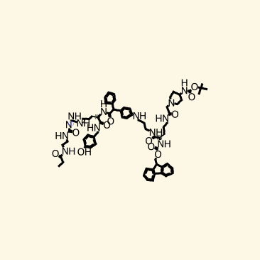 CCC(=O)NCCNC(=O)/N=C(/N)NCCC[C@@H](NC(=O)C(c1ccccc1)c1ccc(NCCCNC(=O)[C@@H](CCCNC(=O)CN2CCC(NC(=O)OC(C)(C)C)CC2)NC(=O)OCC2c3ccccc3-c3ccccc32)cc1)C(=O)NCc1ccc(O)cc1